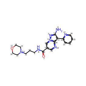 Nc1nn2cc(C(=O)NCCCN3CCOCC3)cnc2c1-c1ccccn1